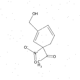 CC(=O)C1([N+](=O)[O-])C=C(CO)C=CC1